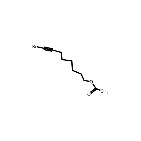 CC(=O)OCCCCCCC#CBr